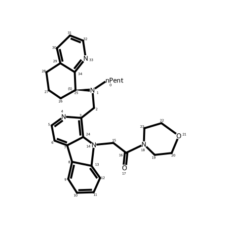 CCCCCN(Cc1nccc2c3ccccc3n(CC(=O)N3CCOCC3)c12)[C@H]1CCCc2cccnc21